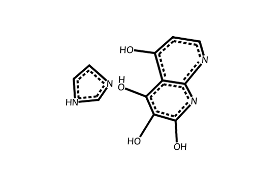 Oc1nc2nccc(O)c2c(O)c1O.c1c[nH]cn1